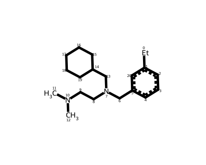 CCc1cccc(CN(CCN(C)C)CC2CCCCC2)c1